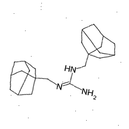 NC(=NCC12CC3CC(CC(C3)C1)C2)NCC12CC3CC(CC(C3)C1)C2